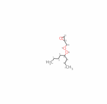 CCCCC(CCC)OOCC1CO1